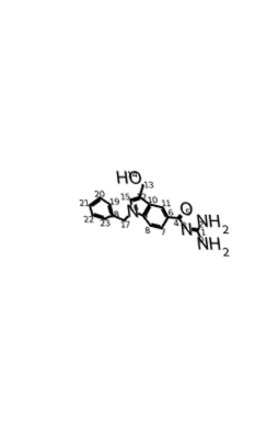 NC(N)=NC(=O)c1ccc2c(c1)c(CO)cn2Cc1ccccc1